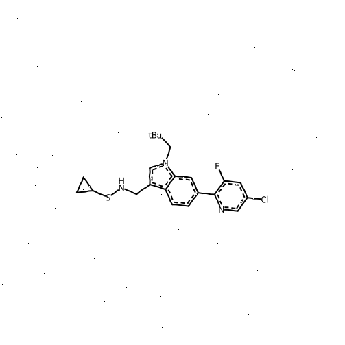 CC(C)(C)Cn1cc(CNSC2CC2)c2ccc(-c3ncc(Cl)cc3F)cc21